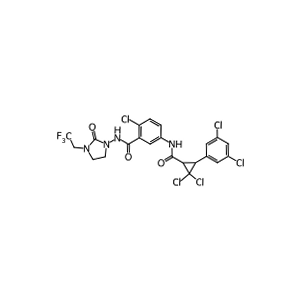 O=C(NN1CCN(CC(F)(F)F)C1=O)c1cc(NC(=O)C2C(c3cc(Cl)cc(Cl)c3)C2(Cl)Cl)ccc1Cl